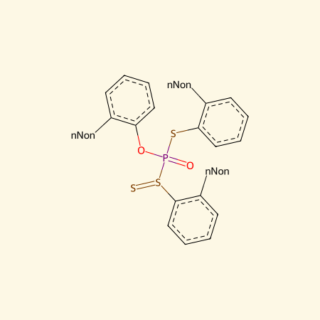 CCCCCCCCCc1ccccc1OP(=O)(Sc1ccccc1CCCCCCCCC)S(=S)c1ccccc1CCCCCCCCC